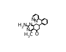 Cc1nc(N)nc2c1C(=O)CC(c1ccccc1-c1cccnn1)C2